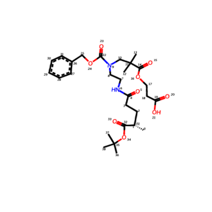 C[C@@H](CCC(=O)NCCN(CC(C)(C)C(=O)OCCC(=O)O)C(=O)OCc1ccccc1)C(=O)OC(C)(C)C